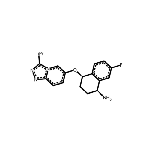 CC(C)c1nnc2ccc(O[C@@H]3CC[C@H](N)c4cc(F)ccc43)cn12